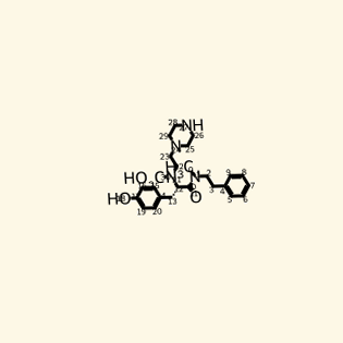 CN(CCc1ccccc1)C(=O)[C@H](Cc1ccc(O)cc1)N(CCN1CCNCC1)C(=O)O